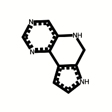 c1ncc2c(n1)-c1cc[nH]c1CN2